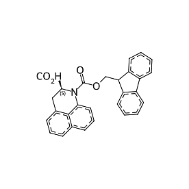 O=C(O)[C@@H]1Cc2cccc3cccc(c23)N1C(=O)OCC1c2ccccc2-c2ccccc21